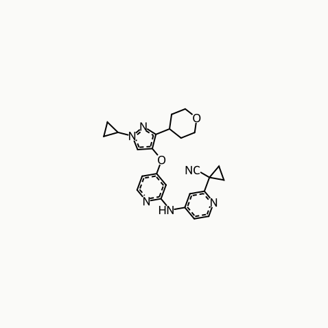 N#CC1(c2cc(Nc3cc(Oc4cn(C5CC5)nc4C4CCOCC4)ccn3)ccn2)CC1